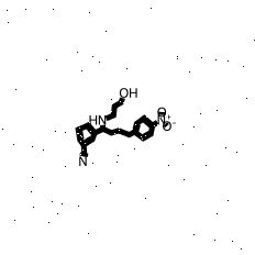 N#Cc1cccc(C(CCCc2ccc([N+](=O)[O-])cc2)NCCCO)c1